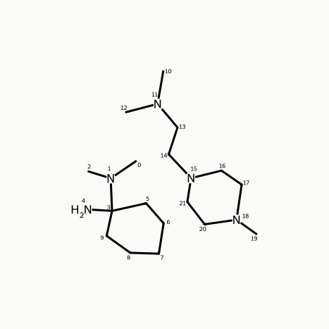 CN(C)C1(N)CCCCC1.CN(C)CCN1CCN(C)CC1